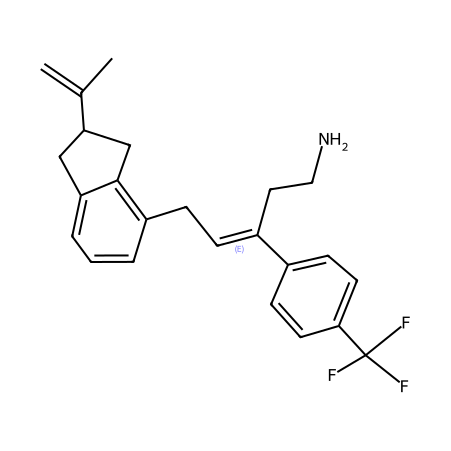 C=C(C)C1Cc2cccc(C/C=C(\CCN)c3ccc(C(F)(F)F)cc3)c2C1